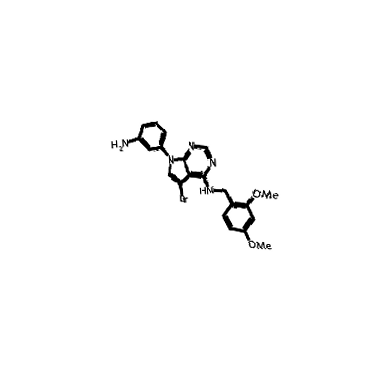 COc1ccc(CNc2ncnc3c2c(Br)cn3-c2cccc(N)c2)c(OC)c1